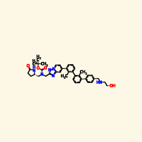 Cc1c(-c2ccc(CNCCO)cc2)cccc1-c1cccc(-c2ccn3nc(CN(C[C@@H]4CCC(=O)N4)C(=O)OC(C)(C)C)nc3c2)c1C